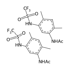 CC(=O)Nc1cc(NS(=O)(=O)C(F)(F)F)c(C)cc1C.CC(=O)Nc1cc(NS(=O)(=O)C(F)(F)F)c(C)cc1C